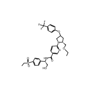 CCOC[C@@H]1CC(Oc2ccc(C(F)(F)F)cc2)CN1c1ccc(C(=O)N[C@@H](CO)c2ccc(S(=O)(=O)CC)cc2)cn1